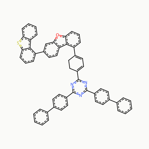 C1=C(c2nc(-c3ccc(-c4ccccc4)cc3)nc(-c3ccc(-c4ccccc4)cc3)n2)CCC(c2cccc3oc4cc(-c5cccc6sc7ccccc7c56)ccc4c23)=C1